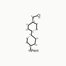 CCCCC[C@H]1CC[C@H]([C@H]2CC[C@H](CCl)CC2)CC1